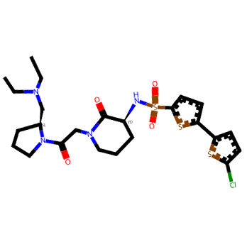 CCN(CC)C[C@@H]1CCCN1C(=O)CN1CCC[C@H](NS(=O)(=O)c2ccc(-c3ccc(Cl)s3)s2)C1=O